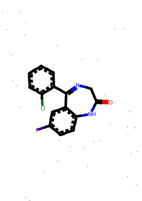 O=C1CN=C(c2ccccc2Cl)c2cc(I)ccc2N1